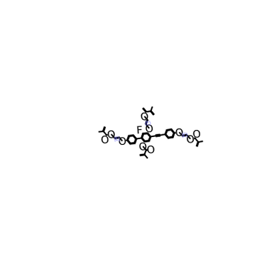 C=C(C)C(=C)O/C=C/Oc1c(C#Cc2ccc(O/C=C/OC(=O)C(=C)C)cc2)cc(OC(=O)C(=C)C)c(-c2ccc(O/C=C/OC(=O)C(=C)C)cc2)c1F